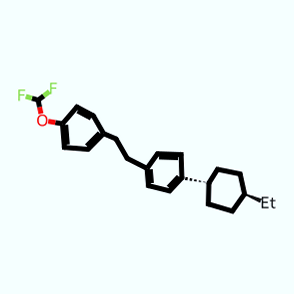 CC[C@H]1CC[C@H](c2ccc(CCc3ccc(OC(F)F)cc3)cc2)CC1